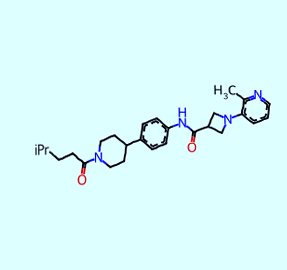 Cc1ncccc1N1CC(C(=O)Nc2ccc(C3CCN(C(=O)CCC(C)C)CC3)cc2)C1